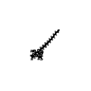 CCCCCCCCCCCCCCCCCC(=O)OC(C(=O)OC(C)(C)C)C(O)C(=O)OC(C)(C)C